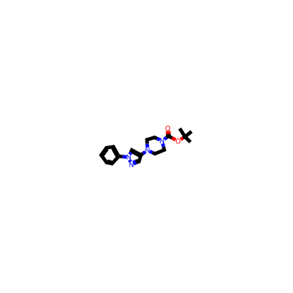 CC(C)(C)OC(=O)N1CCN(c2cnn(-c3ccccc3)c2)CC1